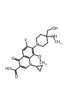 CNC1(CO)CCN(c2c(F)cc3c(=O)c(C(=O)O)cn(C4CC4)c3c2OC)CC1